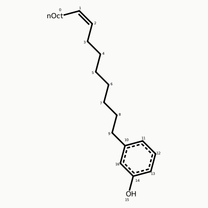 CCCCCCCC/C=C\CCCCCCCc1cccc(O)c1